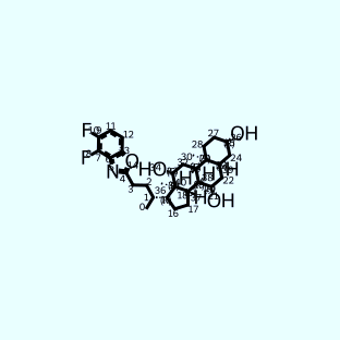 CC(CCc1nc2c(F)c(F)ccc2o1)[C@H]1CC[C@H]2[C@@H]3[C@H](O)C[C@@H]4C[C@H](O)CC[C@]4(C)[C@H]3C[C@H](O)[C@]12C